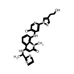 CC(Nc1cc(=O)n(C)c2c(Nc3cc(-n4cc(CCO)cn4)ncc3Cl)cccc12)c1ncccn1